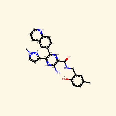 Cc1ccc(O)c(CNC(=O)c2nc(-c3ccc4ncccc4c3)c(-c3ccn(C)n3)nc2N)c1